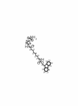 NS(=O)(=O)c1nnc(NC(=O)CCCCCCCNC(=O)OCC2c3ccccc3-c3ccccc32)s1